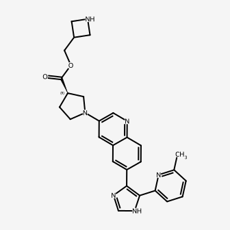 Cc1cccc(-c2[nH]cnc2-c2ccc3ncc(N4CC[C@@H](C(=O)OCC5CNC5)C4)cc3c2)n1